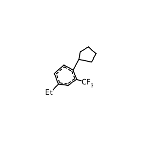 CCc1ccc(C2CCCC2)c(C(F)(F)F)c1